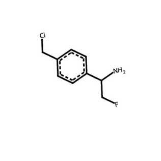 NC(CF)c1ccc(CCl)cc1